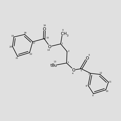 CC(CC(OC(=O)c1ccccc1)C(C)(C)C)OC(=O)c1ccccc1